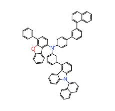 c1ccc(-c2ccc(N(c3ccc(-c4cccc(-c5cccc6ccccc56)c4)cc3)c3cccc(-c4cccc5c4c4ccccc4n5-c4cccc5ccccc45)c3)c3c2oc2ccccc23)cc1